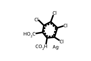 O=C(O)c1c(Cl)c(Cl)c(Cl)c(Cl)c1C(=O)O.[Ag]